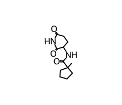 CC1(C(=O)NC2CCC(=O)NC2=O)CCCC1